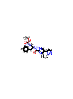 Cn1nccc1-c1cnc(C(=O)NC(CNC(=O)OC(C)(C)C)Cc2ccccc2)nc1